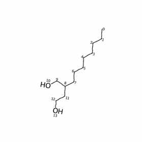 CCCCCCCCC(CO)CCO